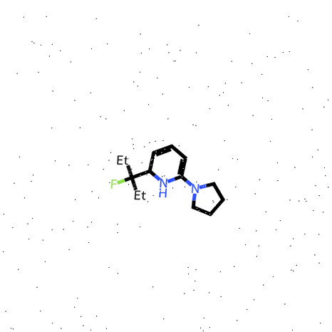 CCC(F)(CC)C1C=CC=C(N2CCCC2)N1